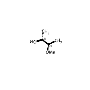 CO[C@H](C)[C@@H](C)O